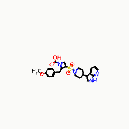 COc1ccc(CC2C(S(=O)(=O)N3CCC(c4c[nH]c5ncccc45)CC3)CN2C(=O)O)cc1